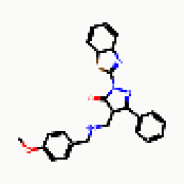 COc1ccc(CNCC2C(=O)N(C3=NC4C=CC=CC4S3)N=C2c2ccccc2)cc1